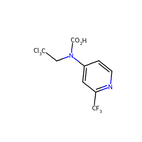 O=C(O)N(CC(Cl)(Cl)Cl)c1ccnc(C(F)(F)F)c1